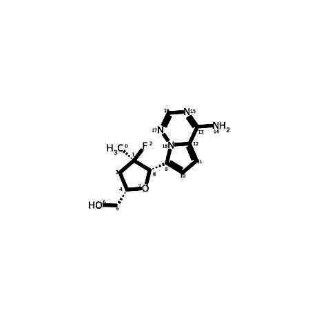 C[C@@]1(F)C[C@@H](CO)O[C@H]1c1ccc2c(N)ncnn12